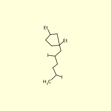 CCC1CCC(CC)(CC(I)CCC(C)I)C1